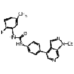 CCn1ncc2c(-c3ccc(NC(=O)Nc4cc(C)ccc4F)cc3)cncc21